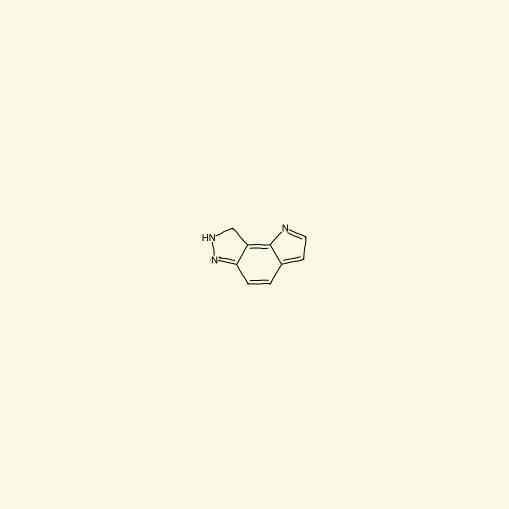 C1=Nc2c3c(ccc2=C1)=[N+]NC3